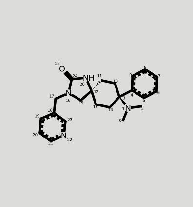 CN(C)[C@]1(c2ccccc2)CC[C@]2(CC1)CN(Cc1cccnc1)C(=O)N2